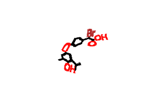 Cc1cc(Oc2ccc(C(Br)C(=O)O)cc2)cc(C(C)C)c1O